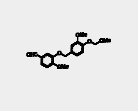 COCOc1ccc(COc2cc(C=O)ccc2OC)cc1OC